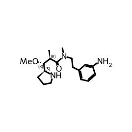 CO[C@@H]([C@@H]1CCCN1)[C@@H](C)C(=O)N(C)CCc1cccc(N)c1